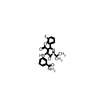 CC(=O)c1c(-c2cccc(F)c2)nn(C(C)C)c(=O)c1Nc1cccc(C(N)=O)c1